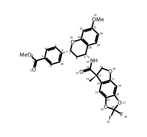 COC(=O)c1ccc([C@H]2C[C@@H](NC(=O)[C@]3(C)COc4cc5c(cc43)OC(F)(F)O5)c3ccc(OC)cc3O2)cc1